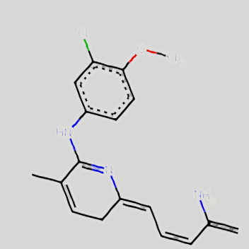 C=C(N)/C=C\C=C1/CC=C(C)C(Nc2ccc(OC(F)(F)F)c(Cl)c2)=N1